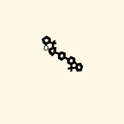 CC1(C)c2ccccc2Oc2ccc(-c3ccc(-c4ccc5c(c4)C(C)(C)c4ccccc4-5)cc3)cc21